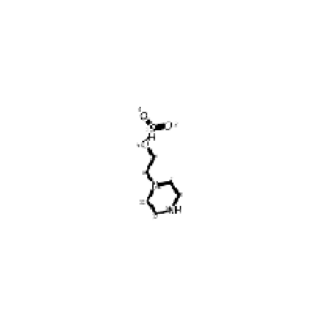 O=[SH](=O)OCCN1CCNCC1